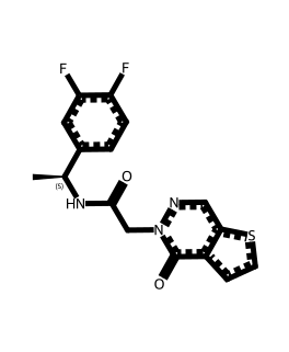 C[C@H](NC(=O)Cn1ncc2sccc2c1=O)c1ccc(F)c(F)c1